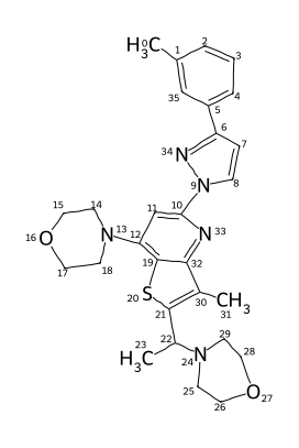 Cc1cccc(-c2ccn(-c3cc(N4CCOCC4)c4sc(C(C)N5CCOCC5)c(C)c4n3)n2)c1